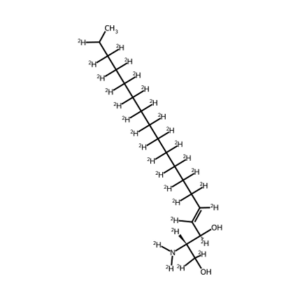 [2H]/C(=C(/[2H])[C@@]([2H])(O)[C@@]([2H])(N([2H])[2H])C([2H])([2H])O)C([2H])([2H])C([2H])([2H])C([2H])([2H])C([2H])([2H])C([2H])([2H])C([2H])([2H])C([2H])([2H])C([2H])([2H])C([2H])([2H])C([2H])([2H])C([2H])([2H])C([2H])C